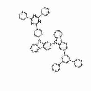 c1ccc(-c2cc(-c3ccccc3)cc(-c3ccc4c5ccccc5n(-c5ccc6c7ccccc7n(-c7ccc(-c8nc(-c9ccccc9)nc(-c9ccccc9)n8)cc7)c6c5)c4c3)c2)cc1